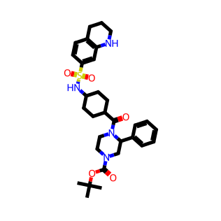 CC(C)(C)OC(=O)N1CCN(C(=O)C2CCC(NS(=O)(=O)c3ccc4c(c3)NCCC4)CC2)C(c2ccccc2)C1